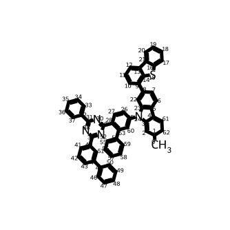 CC1C=c2c(c3ccc(-c4cccc5c4sc4ccccc45)cc3n2-c2ccc(-c3nc(-c4ccccc4)nc(-c4cccc(-c5ccccc5)c4)n3)c(-c3ccccc3)c2)=CC1